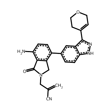 C=C(C#N)CN1Cc2c(-c3ccc4[nH]nc(C5=CCOCC5)c4c3)ccc(N)c2C1=O